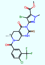 COC(=O)c1c(Br)c(-n2c(=S)[nH]c3c(c2=O)C[C@@H](C)N(C(=O)c2ccc(Cl)c(C(F)(F)F)c2)C3)nn1C